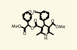 COC(=O)C1=C(C)NC(C)=C(C(=O)OC(C(=O)OC)c2ccccc2)C1c1cccc([N+](=O)[O-])c1